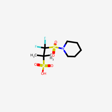 CC(C)(C(F)(F)S(=O)(=O)N1CCCCC1)S(=O)(=O)O